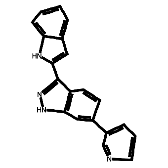 c1cncc(-c2ccc3c(-c4cc5ccccc5[nH]4)n[nH]c3c2)c1